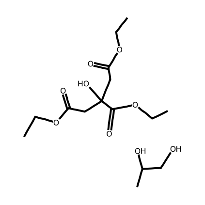 CC(O)CO.CCOC(=O)CC(O)(CC(=O)OCC)C(=O)OCC